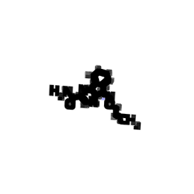 C=CCO/N=C1/c2ccccc2-c2nc(C(N)=O)cnc21